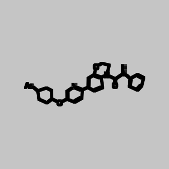 CC(=O)C1CCC(Oc2ccc(-c3ccc4c(c3)OCCN4C(=O)Nc3ccccc3)nc2)CC1